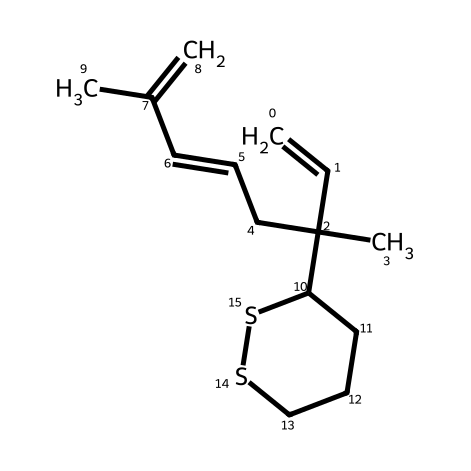 C=CC(C)(CC=CC(=C)C)C1CCCSS1